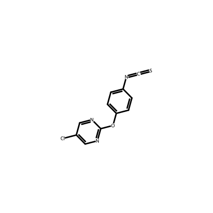 S=C=Nc1ccc(Oc2ncc(Cl)cn2)cc1